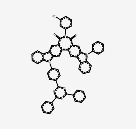 N#Cc1cccc(-n2c(=O)c3cc4c(cc3c3cc5c(cc3c2=O)c2ccccc2n5-c2ccc(-c3nc(-c5ccccc5)nc(-c5ccccc5)n3)cc2)c2ccccc2n4-c2ccccc2)c1